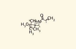 C=CC(=O)N1CC(C)(C(C)(C)C)C1